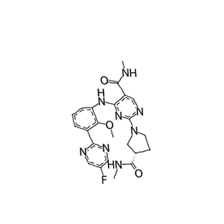 CNC(=O)c1cnc(N2CC[C@H](C(=O)NC)C2)nc1Nc1cccc(-c2ncc(F)cn2)c1OC